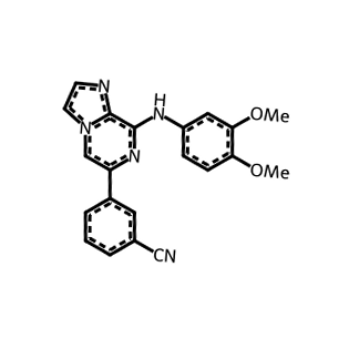 COc1ccc(Nc2nc(-c3cccc(C#N)c3)cn3ccnc23)cc1OC